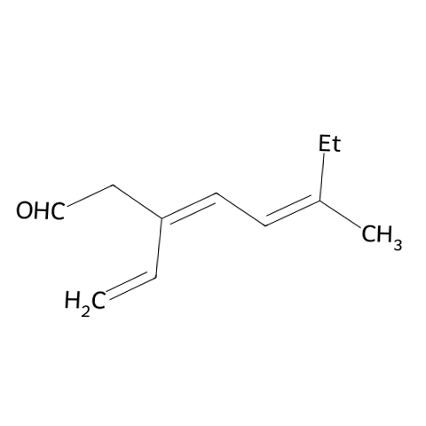 C=C/C(=C\C=C(\C)CC)CC=O